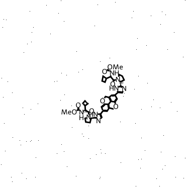 COC(=O)NC(C(=O)N1CCC[C@H]1c1ncc(-c2cc3c4c(c2)OCc2cc(-c5cnc(C6CCCN6C(=O)[C@@H](NC(=O)OC)C6CCC6)[nH]5)cc(c2-4)OC3)[nH]1)C1CCC1